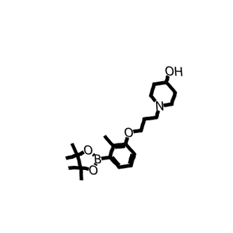 Cc1c(OCCCN2CCC(O)CC2)cccc1B1OC(C)(C)C(C)(C)O1